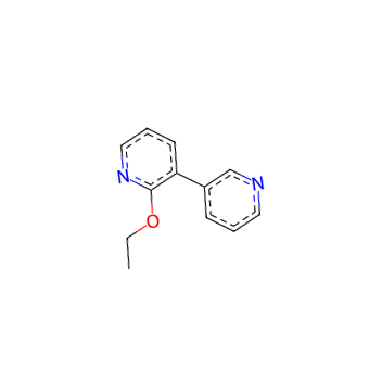 CCOc1ncccc1-c1cccnc1